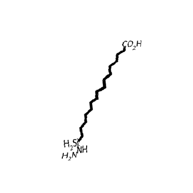 NN[SiH2]CCCCCCCCCCCCCCCC(=O)O